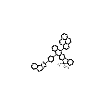 CC1(C)c2ccccc2-c2cc3c(-c4ccc5ccc6cccc7ccc4c5c67)c4ccccc4c(-c4ccc(-c5cn6ccc7ccccc7c6n5)cc4)c3cc21